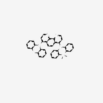 C[Si]1(C)c2ccccc2N(c2ccnc3c2ccc2c(N4c5ccccc5Oc5ccccc54)ccnc23)c2ccccc21